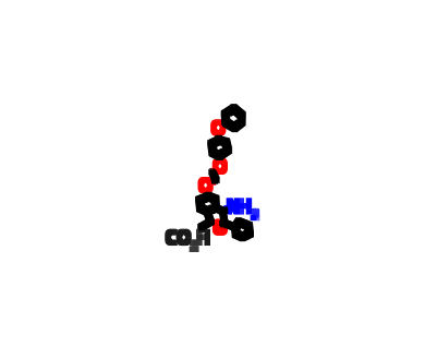 NC(C(=O)c1ccccc1)c1cc(OCCOc2ccc(Oc3ccccc3)cc2)ccc1CCC(=O)O